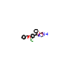 OC1([C@H](CN2CCNCC2)c2ccc(OCc3ccccc3)c(Cl)c2)CCCCC1